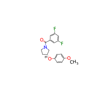 COc1ccc(O[C@@H]2CCN(C(=O)c3cc(F)cc(F)c3)C2)cc1